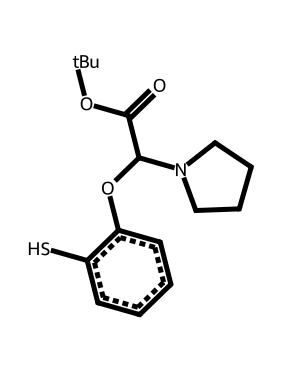 CC(C)(C)OC(=O)C(Oc1ccccc1S)N1CCCC1